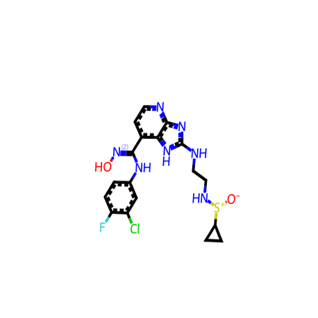 [O-][S+](NCCNc1nc2nccc(/C(=N/O)Nc3ccc(F)c(Cl)c3)c2[nH]1)C1CC1